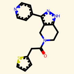 O=C(Cc1cccs1)N1CCc2[nH]nc(-c3ccncc3)c2C1